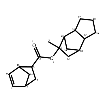 CC1(OC(=O)C2CC3C=CC2C3)CC2CC1C1CCCC21